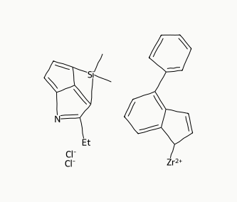 CCC1=NC2=CC=C3C2=C1[Si]3(C)C.[Cl-].[Cl-].[Zr+2][CH]1C=Cc2c(-c3ccccc3)cccc21